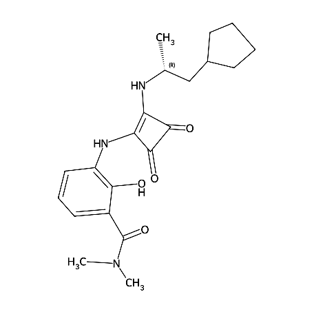 C[C@H](CC1CCCC1)Nc1c(Nc2cccc(C(=O)N(C)C)c2O)c(=O)c1=O